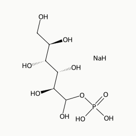 O=P(O)(O)OC(O)[C@@H](O)[C@@H](O)[C@H](O)[C@H](O)CO.[NaH]